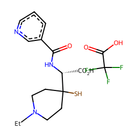 CCN1CCC(S)([C@H](NC(=O)c2cccnc2)C(=O)O)CC1.O=C(O)C(F)(F)F